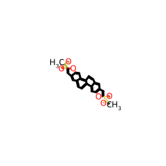 CS(=O)(=O)c1cc2cc3ccc4c5cc6oc(S(C)(=O)=O)cc6cc5ccc4c3cc2o1